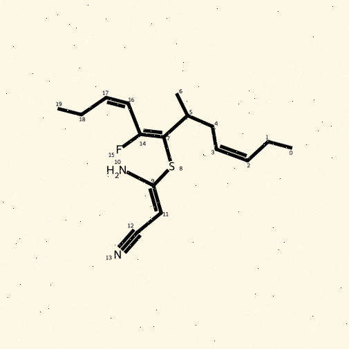 CC/C=C\CC(C)/C(S/C(N)=C/C#N)=C(F)\C=C/CC